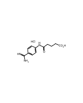 Cl.N=C(N)c1ccc(NC(=O)CCCC(=O)O)cc1